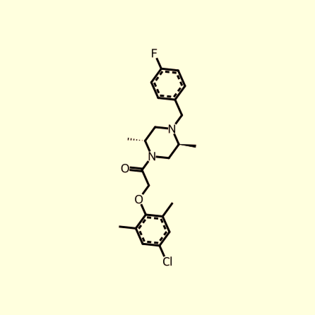 Cc1cc(Cl)cc(C)c1OCC(=O)N1C[C@H](C)N(Cc2ccc(F)cc2)C[C@H]1C